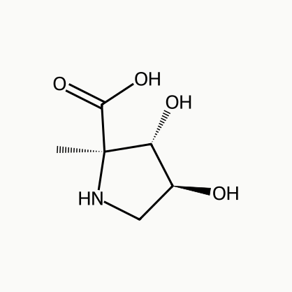 C[C@@]1(C(=O)O)NC[C@H](O)[C@H]1O